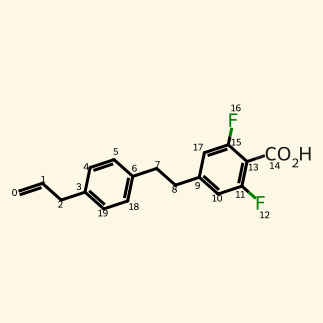 C=CCc1ccc(CCc2cc(F)c(C(=O)O)c(F)c2)cc1